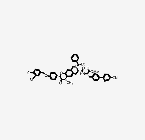 CC[C@H](c1ccccc1)N1Cc2cc3c(cc2C[C@H]1C(=O)N[C@@H](Cc1ccc(-c2ccc(C#N)cc2)cc1)C(=O)OC)N(C)C(=O)[C@@H](c1ccc(OCc2ccc(Cl)c(Cl)c2)cc1)O3